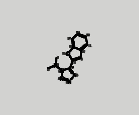 CN(C)n1nnnc1-c1cc2ccccc2o1